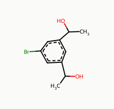 CC(O)c1cc(Br)cc(C(C)O)c1